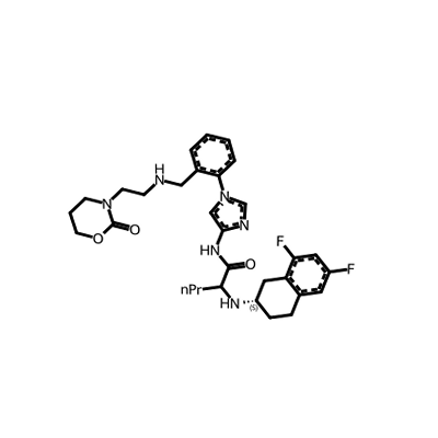 CCCC(N[C@H]1CCc2cc(F)cc(F)c2C1)C(=O)Nc1cn(-c2ccccc2CNCCN2CCCOC2=O)cn1